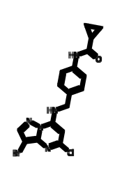 O=C(Nc1ccc(CNc2cc(Cl)nc3c(Br)cnn23)cc1)C1CC1